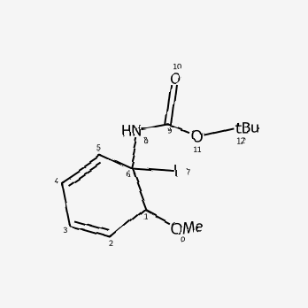 COC1C=CC=CC1(I)NC(=O)OC(C)(C)C